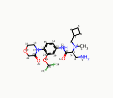 CN(CC1CCC1)[C@@H](CN)C(=O)Nc1ccc(N2CCOCC2=O)c(OC(F)F)c1